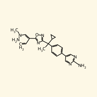 C=C/C(=C\N(C)N)c1nc(C(C)(c2ccc(-c3cnc(N)nc3)cc2)C2CC2)no1